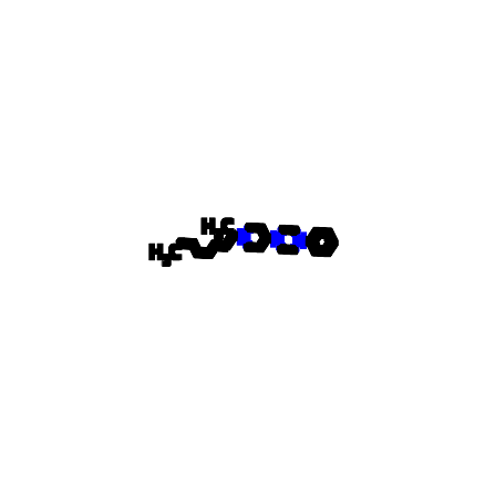 C\C=C/C=C\C=C\C(C)N1CCC(N2CCN(c3ccccc3)CC2)CC1